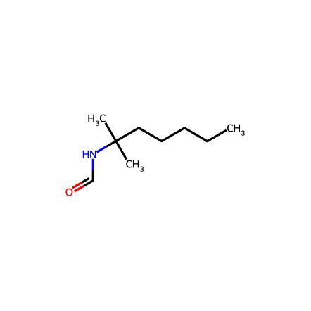 CCCCCC(C)(C)NC=O